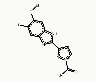 CCOc1cc2[nH]c(-c3[c]cn(C(N)=O)n3)nc2cc1F